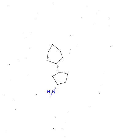 N[C@H]1CC[C@@H](C2CCCCC2)C1